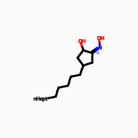 CCCCCCCCCCCCC1C/C(=N/O)C(O)C1